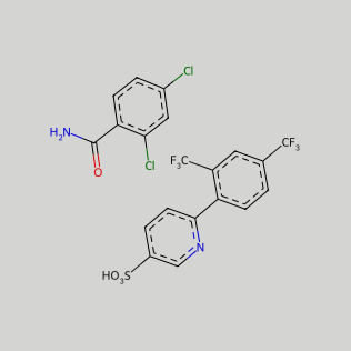 NC(=O)c1ccc(Cl)cc1Cl.O=S(=O)(O)c1ccc(-c2ccc(C(F)(F)F)cc2C(F)(F)F)nc1